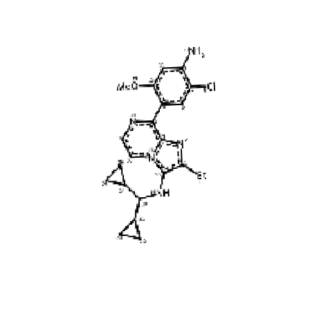 CCc1nc2c(-c3cc(Cl)c(N)cc3OC)nccn2c1NC(C1CC1)C1CC1